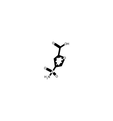 NS(=O)(=O)c1coc(C(=O)O)c1